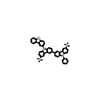 C[Si](C)(C)c1ccc2c(c1)c1cc(-c3ccc4c(c3)c3cc([Si](C)(C)C)ccc3n4-c3ccc4oc5ccccc5c4c3)ccc1n2-c1ccccc1